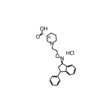 Cl.O=C(O)[C@@H]1CCCN(CCON=C2CC(c3ccccc3)c3ccccc32)C1